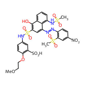 COCCOc1ccc(NS(=O)(=O)c2cc(N=Nc3ccc([N+](=O)[O-])cc3S(C)(=O)=O)c3c(NS(C)(=O)=O)cccc3c2O)cc1S(=O)(=O)O